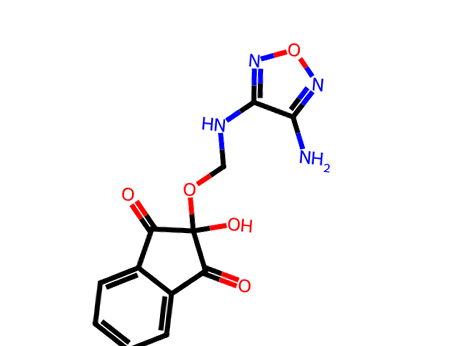 Nc1nonc1NCOC1(O)C(=O)c2ccccc2C1=O